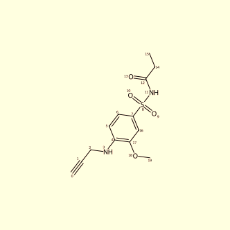 C#CCNc1ccc(S(=O)(=O)NC(=O)CC)cc1OC